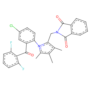 Cc1c(C)c(CN2C(=O)c3ccccc3C2=O)n(-c2ccc(Cl)cc2C(=O)c2c(F)cccc2F)c1C